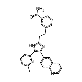 Cc1cccc(-c2[nH]c(CCc3cccc(C(N)=O)c3)nc2-c2ccc3ncccc3c2)n1